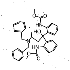 COC(=O)Nc1ccccc1C(O)(CC(C)N(Cc1ccccc1)Cc1ccccc1)c1ccccc1NC(=O)OC